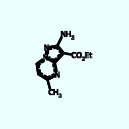 CCOC(=O)c1c(N)nn2ccc(C)nc12